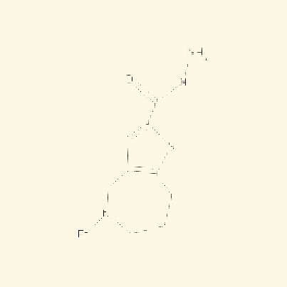 CCN1CCCc2sc(C(=O)NN)cc2C1